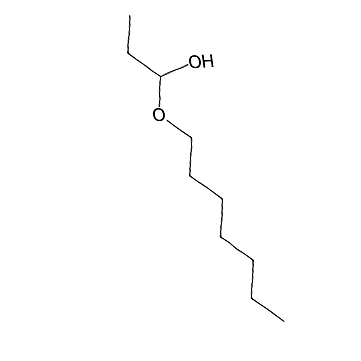 CCCCCCCOC(O)CC